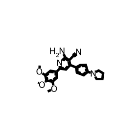 COc1cc(-c2cc(-c3ccc(N4CCCC4)cc3)c(C#N)c(N)n2)cc(OC)c1OC